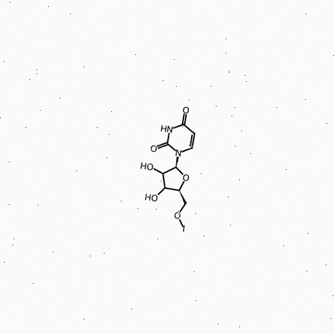 O=c1ccn([C@H]2O[C@@H](COI)C(O)C2O)c(=O)[nH]1